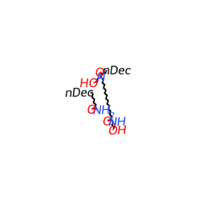 CCCCCCCCCCCC(=O)N(CCO)CCCCCCCCCCCCCCCC(=O)NCCO.CCCCCCCCCCCCCCCC(N)=O